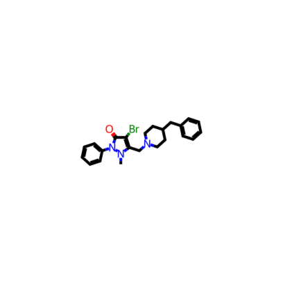 Cn1c(CN2CCC(Cc3ccccc3)CC2)c(Br)c(=O)n1-c1ccccc1